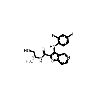 C[C@H](CO)NC(=O)c1oc2ccncc2c1Nc1ccc(I)cc1F